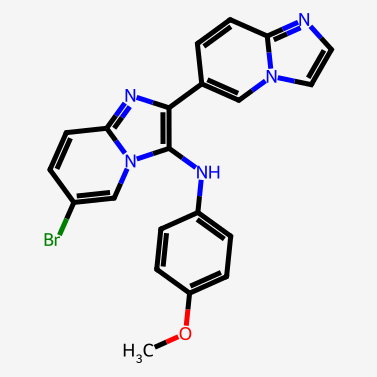 COc1ccc(Nc2c(-c3ccc4nccn4c3)nc3ccc(Br)cn23)cc1